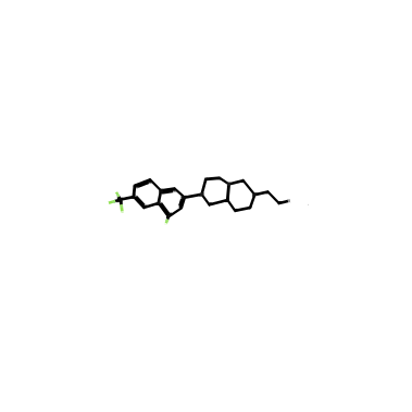 CCCC1CCC2CC(c3cc(F)c4cc(C(F)(F)F)ccc4c3)CCC2C1